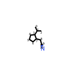 CC(C)C1CCCC1CC#N